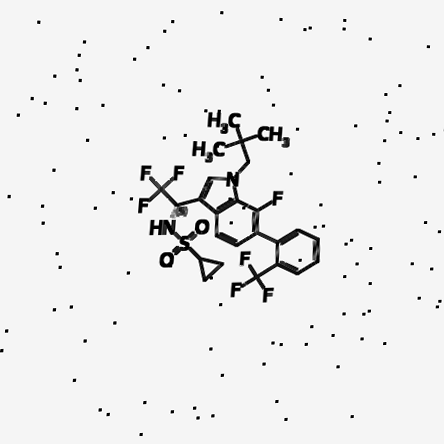 CC(C)(C)Cn1cc([C@H](NS(=O)(=O)C2CC2)C(F)(F)F)c2ccc(-c3ccccc3C(F)(F)F)c(F)c21